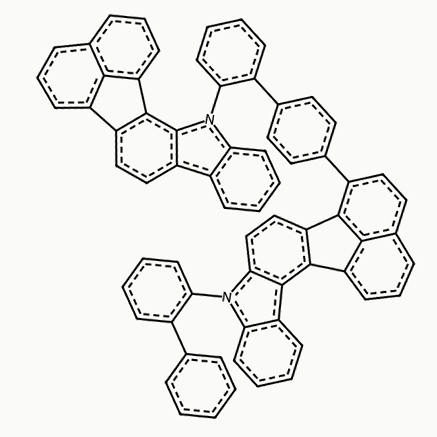 c1ccc(-c2ccccc2-n2c3ccccc3c3c4c(ccc32)-c2c(-c3ccc(-c5ccccc5-n5c6ccccc6c6ccc7c(c65)-c5cccc6cccc-7c56)cc3)ccc3cccc-4c23)cc1